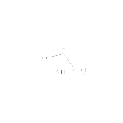 O=C(O)NC(=O)O.[AlH3]